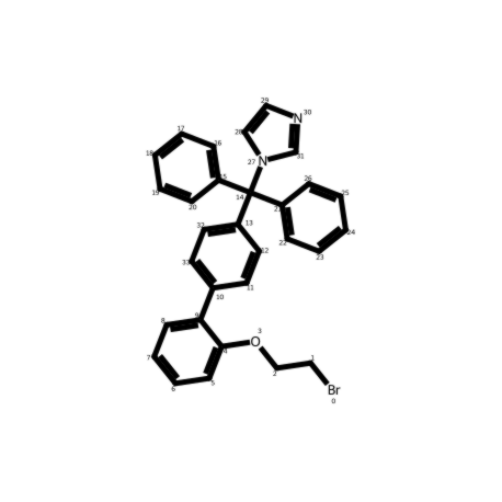 BrCCOc1ccccc1-c1ccc(C(c2ccccc2)(c2ccccc2)n2ccnc2)cc1